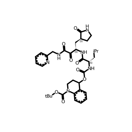 CC(C)C[C@H](NC(=O)OC1CCN(C(=O)OC(C)(C)C)c2ccccc21)C(=O)N[C@@H](C[C@@H]1CCNC1=O)C(=O)C(=O)NCc1ccccn1